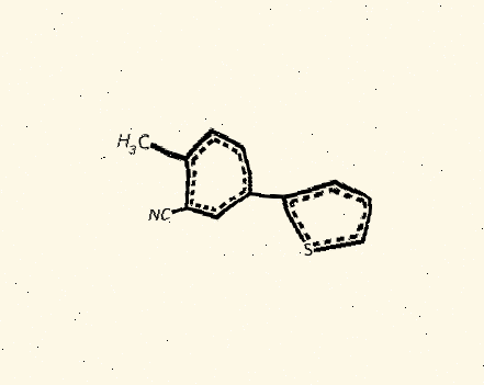 Cc1ccc(-c2cccs2)cc1C#N